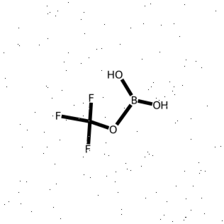 OB(O)OC(F)(F)F